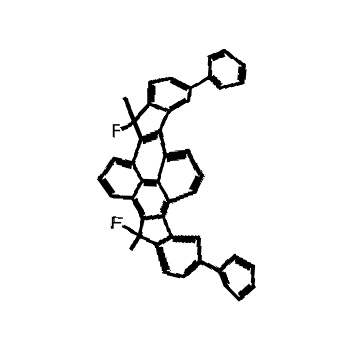 CC1(F)c2ccc(-c3ccccc3)cc2-c2c1c1cccc3c4c(c5cccc2c5c13)-c1cc(-c2ccccc2)ccc1C4(C)F